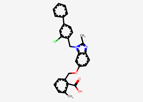 Cc1cccc(COc2ccc3nc(C)n(Cc4ccc(-c5ccccc5)cc4Cl)c3c2)c1C(=O)O